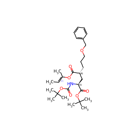 C/C=C(\C)OC(=O)[C@H](CCCOCc1ccccc1)C[C@H](NC(=O)OC(C)(C)C)C(=O)OC(C)(C)C